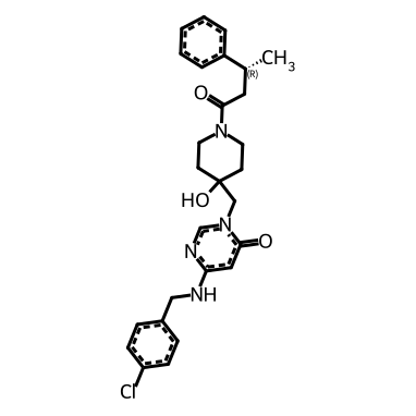 C[C@H](CC(=O)N1CCC(O)(Cn2cnc(NCc3ccc(Cl)cc3)cc2=O)CC1)c1ccccc1